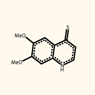 COc1cc2[nH]ccc(=S)c2cc1OC